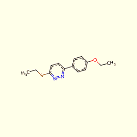 CCOc1ccc(-c2ccc(SCC)nn2)cc1